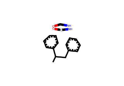 CC(Cc1ccccc1)c1ccccc1.N=C=O.N=C=O